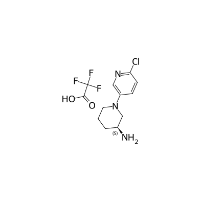 N[C@H]1CCCN(c2ccc(Cl)nc2)C1.O=C(O)C(F)(F)F